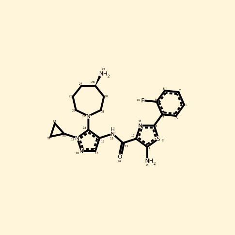 Nc1sc(-c2ccccc2F)nc1C(=O)Nc1cnn(C2CC2)c1N1CCC[C@@H](N)CC1